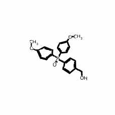 COc1ccc(P(=O)(c2ccc(CO)cc2)c2ccc(OC)cc2)cc1